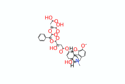 COc1ccc2c3c1O[C@H]1C(OC(=O)C[C@H](O)C(=O)O[C@H](C(=O)O[C@H](CC(=O)O)C(=O)O)c4ccccc4)=CC[C@@]4(O)[C@@H](C2)N(C)CC[C@]314